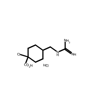 Cl.N=C(N)NCC1CCC(Cl)(C(=O)O)CC1